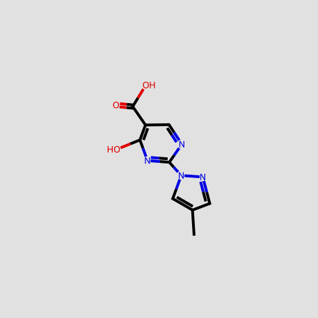 Cc1cnn(-c2ncc(C(=O)O)c(O)n2)c1